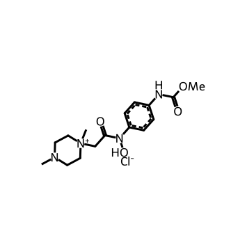 COC(=O)Nc1ccc(N(O)C(=O)C[N+]2(C)CCN(C)CC2)cc1.[Cl-]